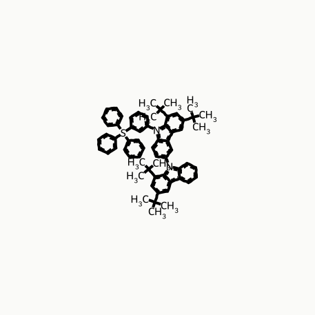 CC(C)(C)c1cc(C(C)(C)C)c2c(c1)c1ccccc1n2-c1ccc2c(c1)c1cc(C(C)(C)C)cc(C(C)(C)C)c1n2-c1cccc(S(c2ccccc2)(c2ccccc2)c2ccccc2)c1